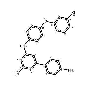 Nc1ccc(-c2cc(Nc3ccc(Oc4ccnc(Cl)c4)cc3)nc(N)n2)cc1